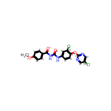 COc1ccc(C(=O)NC(=O)Nc2ccc(Oc3ncc(Cl)cn3)c(Cl)c2)cc1